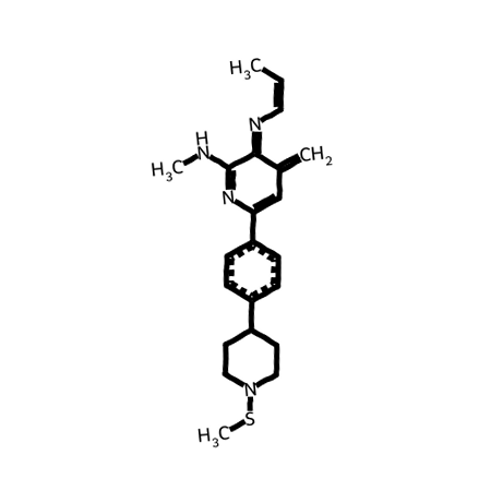 C=C1C=C(c2ccc(C3CCN(SC)CC3)cc2)N=C(NC)/C1=N/C=C\C